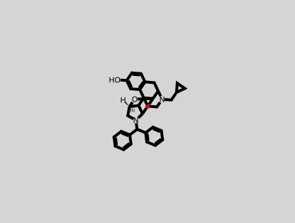 Oc1ccc2c(c1)C13CCN(CC4CC4)C(C2)C12CCC1C3[C@@H](CN1C(c1ccccc1)c1ccccc1)O2